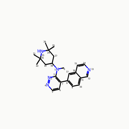 CN(c1nnccc1-c1ccc2cnccc2c1)C1CC(C)(C)NC(C)(C)C1